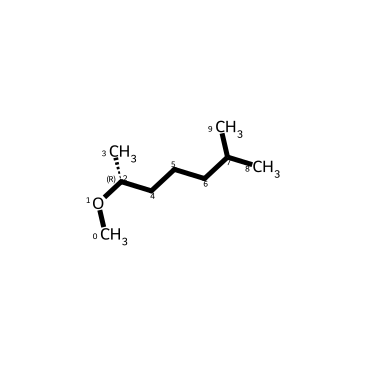 CO[C@H](C)CCCC(C)C